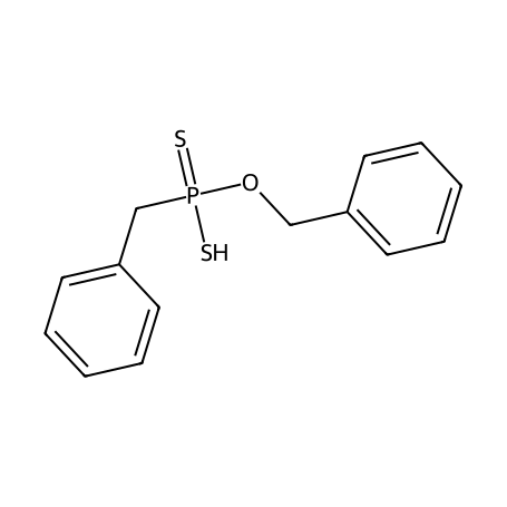 S=P(S)(Cc1ccccc1)OCc1ccccc1